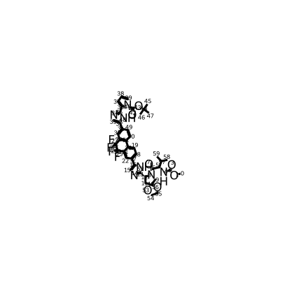 COC(=O)N[C@H](C(=O)N1CC2(C[C@H]1c1ncc(-c3ccc4c(c3)C(F)(F)C(F)(F)c3cc(-c5cnc(-c6cccn6C(=O)OC(C)(C)C)[nH]5)ccc3-4)[nH]1)OCCO2)C(C)C